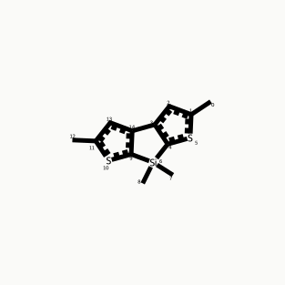 Cc1cc2c(s1)[Si](C)(C)c1sc(C)cc1-2